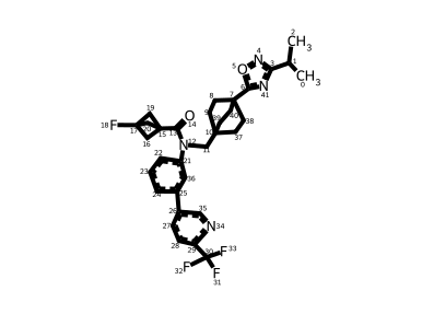 CC(C)c1noc(C23CCC(CN(C(=O)C45CC(F)(C4)C5)c4cccc(-c5ccc(C(F)(F)F)nc5)c4)(CC2)CC3)n1